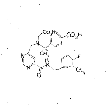 Cc1cc(CNC(=O)c2cc(CN(CC(=O)O)[C@@H](C)c3ccc(C(=O)O)cc3)ncn2)ccc1F